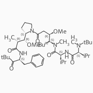 CC[C@H](C)[C@@H]([C@@H](CC(=O)N1CCC[C@H]1[C@H](OC)[C@@H](C)C(=O)N[C@@H](Cc1ccccc1)C(=O)C(C)(C)C)OC)N(C)C(=O)[C@@H](NC(=O)[C@H](C(C)C)N(C)C(C)(C)C)C(C)C